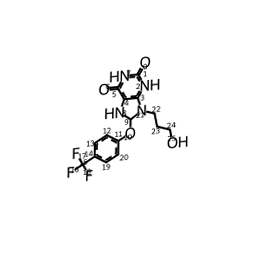 O=c1[nH]c2c(c(=O)[nH]1)NC(Oc1ccc(C(F)(F)F)cc1)N2CCCO